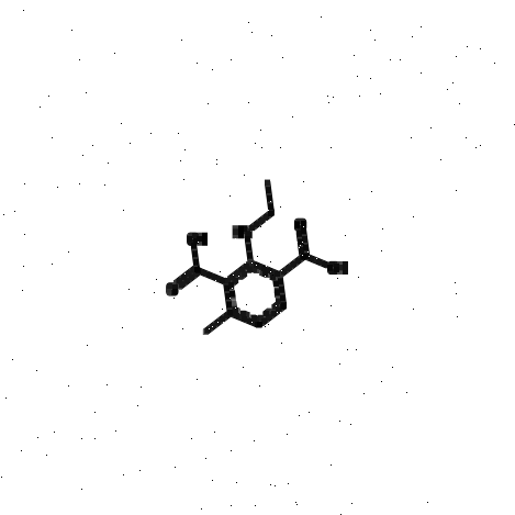 CCNc1c(C(=O)O)ccc(C)c1C(=O)O